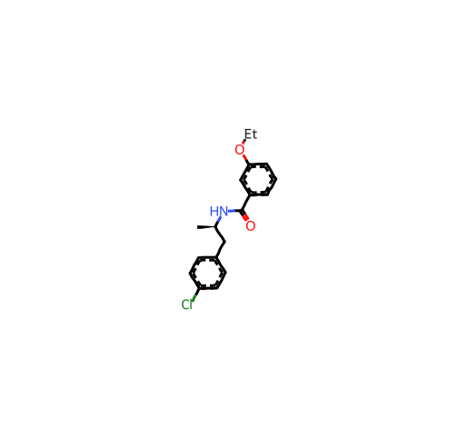 CCOc1cccc(C(=O)N[C@H](C)Cc2ccc(Cl)cc2)c1